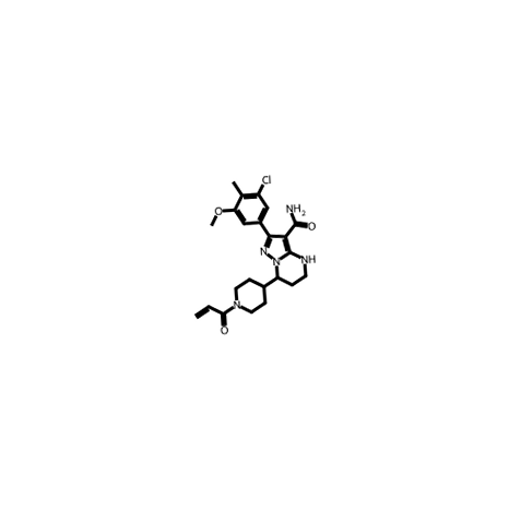 C=CC(=O)N1CCC(C2CCNc3c(C(N)=O)c(-c4cc(Cl)c(C)c(OC)c4)nn32)CC1